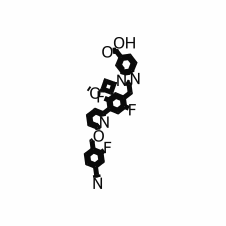 CO[C@H]1C[C@H](n2c(Cc3cc(F)c(-c4cccc(OCc5ccc(C#N)cc5F)n4)cc3F)nc3ccc(C(=O)O)cc32)C1